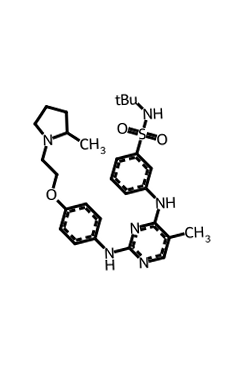 Cc1cnc(Nc2ccc(OCCN3CCCC3C)cc2)nc1Nc1cccc(S(=O)(=O)NC(C)(C)C)c1